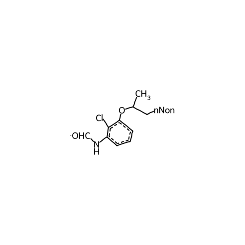 CCCCCCCCCCC(C)Oc1cccc(N[C]=O)c1Cl